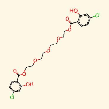 O=C(OCCOCCOCCOCCOC(=O)c1ccc(Cl)cc1O)c1ccc(Cl)cc1O